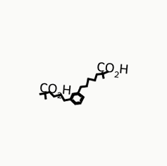 CC(C)(CCCCCc1cccc(CCCCC(C)(C)C(=O)O)c1)C(=O)O